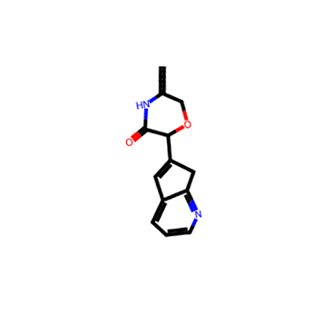 C=C1COC(C2=Cc3cccnc3C2)C(=O)N1